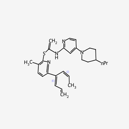 C=C/C=C(\C=C/C)c1ccc(C)c(SC(=C)Nc2cc(N3CCC(CCC)CC3)ccn2)n1